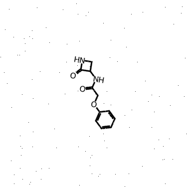 O=C(COc1ccccc1)NC1CNC1=O